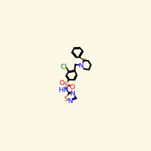 O=S(=O)(Nc1ncns1)c1ccc(CN2CCCC[C@@H]2c2ccccc2)c(Cl)c1